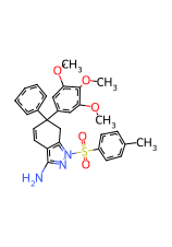 COc1cc(C2(c3ccccc3)C=Cc3c(N)nn(S(=O)(=O)c4ccc(C)cc4)c3C2)cc(OC)c1OC